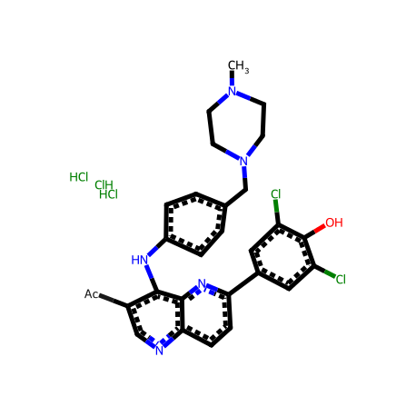 CC(=O)c1cnc2ccc(-c3cc(Cl)c(O)c(Cl)c3)nc2c1Nc1ccc(CN2CCN(C)CC2)cc1.Cl.Cl.Cl